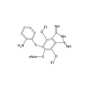 CCCCCCCCCSc1c(OCC)c2c(c(OCC)c1Sc1ccccc1N)C(=N)NC2=N